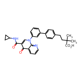 CC(C)(CCc1ccc(-c2cccc(-n3cc(C(=O)NC4CC4)c(=O)c4cccnc43)c2)cc1)C(=O)O